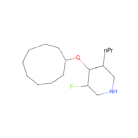 CCCC1CNCC(F)C1OC1CCCCCCCC1